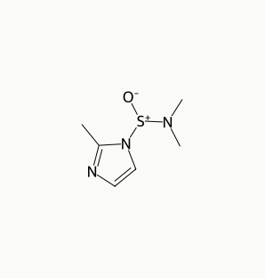 Cc1nccn1[S+]([O-])N(C)C